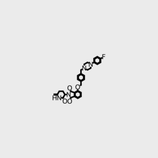 C=C1CCC(N2C(=O)c3cccc(OCc4ccc(CN5CCN(c6ccc(F)cc6)CC5)cc4)c3C2=O)C(=O)N1